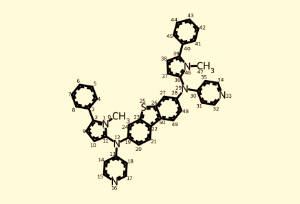 Cn1c(-c2ccccc2)ccc1N(c1ccncc1)c1ccc2c(c1)sc1cc(N(c3ccncc3)c3ccc(-c4ccccc4)n3C)ccc12